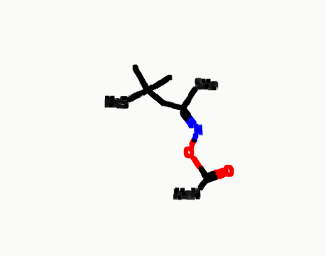 CNC(=O)ON=C(CC(C)(C)SC)SC